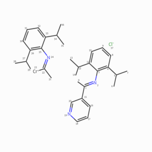 CC(=Nc1c(C(C)C)cccc1C(C)C)c1cccnc1.C[C]([Cr+])=Nc1c(C(C)C)cccc1C(C)C.[Cl-]